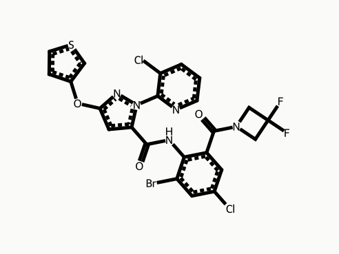 O=C(Nc1c(Br)cc(Cl)cc1C(=O)N1CC(F)(F)C1)c1cc(Oc2ccsc2)nn1-c1ncccc1Cl